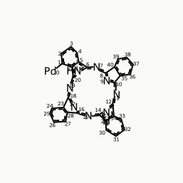 [Pd][c]1cccc2c3nc4nc(nc5[nH]c(nc6nc(nc([nH]3)c12)-c1ccccc1-6)c1ccccc51)-c1ccccc1-4